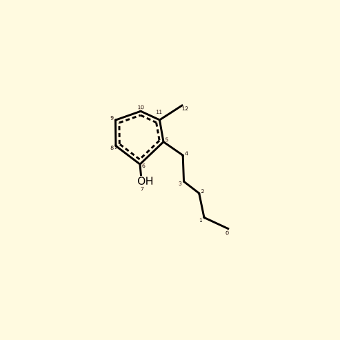 CCCCCc1c(O)[c]ccc1C